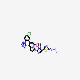 Nc1ncc(-c2cnc([C@@H]3CCc4cc(-c5cc(Cl)ccc5-n5cnnn5)cc(=O)n43)[nH]2)s1